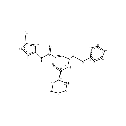 CCc1nnc(NC(=O)C=C[C@H](CCc2ccccc2)NC(=O)[C@@H]2CCCCN2)s1